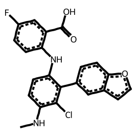 CNc1ccc(Nc2ccc(F)cc2C(=O)O)c(-c2ccc3occc3c2)c1Cl